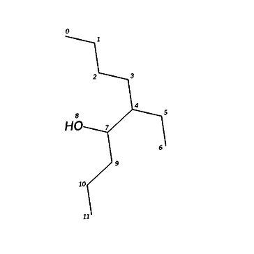 CCCCC(CC)C(O)CCC